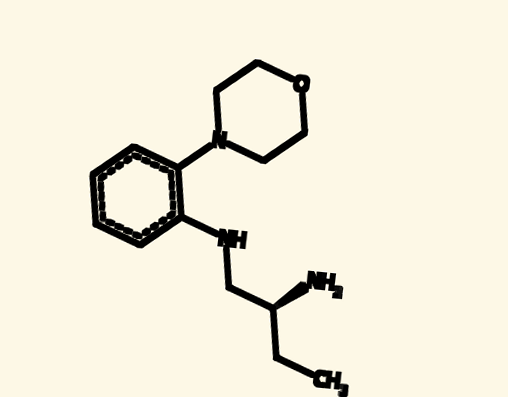 CC[C@H](N)CNc1ccccc1N1CCOCC1